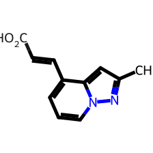 Cc1cc2c(C=CC(=O)O)cccn2n1